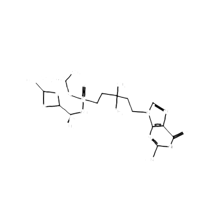 CCOC(=O)[C@H](C)NP(=O)(CCC(C)(C)CCn1cnc2c(=O)[nH]c(N)nc21)N[C@@H](C)C1OC(C)O1